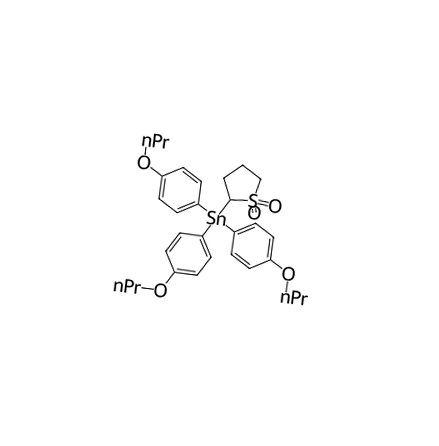 CCCOc1cc[c]([Sn]([c]2ccc(OCCC)cc2)([c]2ccc(OCCC)cc2)[CH]2CCCS2(=O)=O)cc1